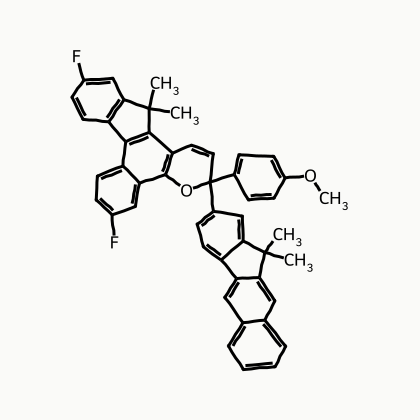 COc1ccc(C2(c3ccc4c(c3)C(C)(C)c3cc5ccccc5cc3-4)C=Cc3c4c(c5ccc(F)cc5c3O2)-c2ccc(F)cc2C4(C)C)cc1